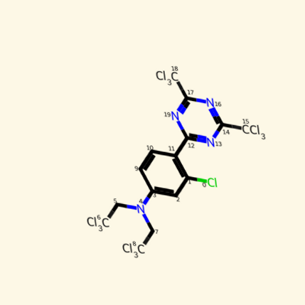 Clc1cc(N(CC(Cl)(Cl)Cl)CC(Cl)(Cl)Cl)ccc1-c1nc(C(Cl)(Cl)Cl)nc(C(Cl)(Cl)Cl)n1